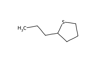 CCCC1CCCS1